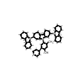 Cc1cc(C#N)c(-c2ccncc2)cc1-n1c2cc(-n3c4ccccc4c4ccccc43)ccc2c2ccc(-n3c4ccccc4c4ccccc43)cc21